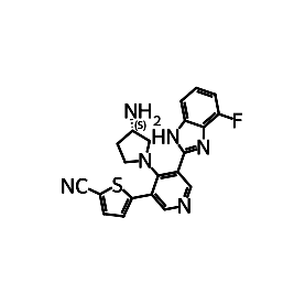 N#Cc1ccc(-c2cncc(-c3nc4c(F)cccc4[nH]3)c2N2CC[C@H](N)C2)s1